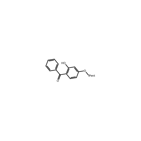 CCCC(C)Oc1ccc(C(=O)c2ccccc2)c(O)c1